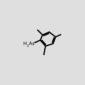 Cc1cc(C)c([AsH2])c(C)c1